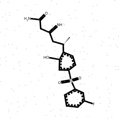 C[C@@H](CC(=N)CC(N)=O)c1ccc(S(=O)(=O)c2cccc(F)c2)cc1O